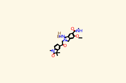 Br.CCOc1cc2c(cc1C(=O)NC)C(=N)N(CC(=O)c1ccc3c(c1)C(C)(C)C(=O)N3C)C2